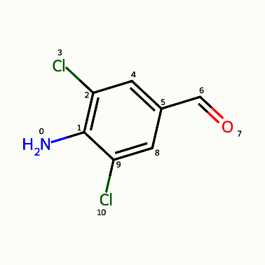 Nc1c(Cl)cc(C=O)cc1Cl